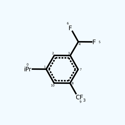 CC(C)c1cc(C(F)F)cc(C(F)(F)F)c1